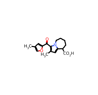 Cc1coc(C(=O)c2c(C)cc3n2CCCCC3C(=O)O)c1